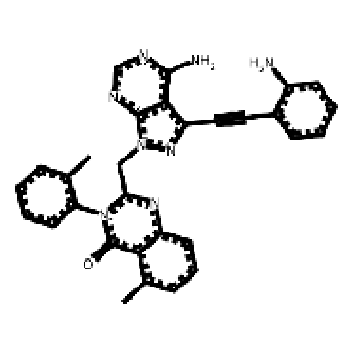 Cc1ccccc1-n1c(Cn2nc(C#Cc3ccccc3N)c3c(N)ncnc32)nc2cccc(C)c2c1=O